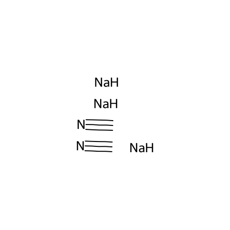 C#N.C#N.[NaH].[NaH].[NaH]